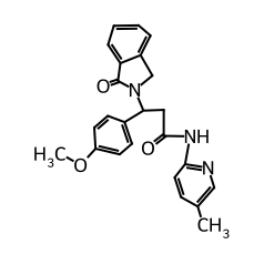 COc1ccc(C(CC(=O)Nc2ccc(C)cn2)N2Cc3ccccc3C2=O)cc1